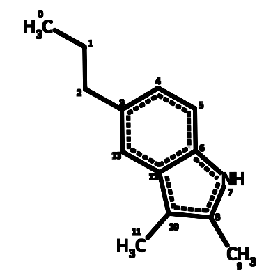 CCCc1ccc2[nH]c(C)c(C)c2c1